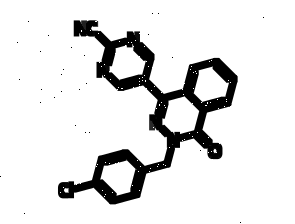 N#Cc1ncc(-c2nn(Cc3ccc(Cl)cc3)c(=O)c3ccccc23)cn1